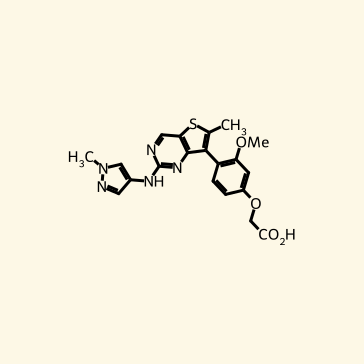 COc1cc(OCC(=O)O)ccc1-c1c(C)sc2cnc(Nc3cnn(C)c3)nc12